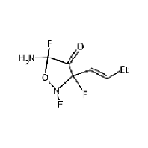 CCC=CC1(F)C(=O)C(N)(F)ON1F